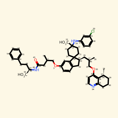 CC(COc1ccc2c(c1)C1(CCC(Nc3cccc(Cl)c3)(C(=O)O)CC1)[C@@H](C[C@@H](C)COc1ccnc3c1[C@H](C)CCC3)C2)CC(=O)N[C@H](CCc1ccccc1)C(=O)O